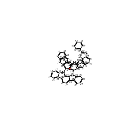 c1ccc(-c2cc(-c3ccccc3)cc(-n3c4ccccc4c4ccc5c6ccccc6n(-c6nc(-c7ccccc7)nc(-c7cccc8nc(-c9ccccc9)sc78)n6)c5c43)c2)cc1